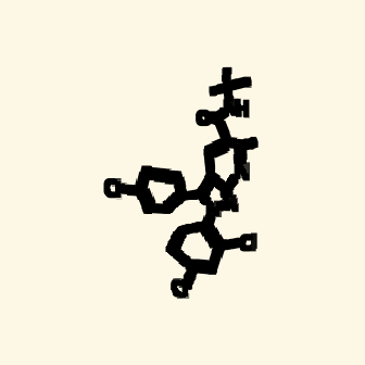 Cc1nc2nn(-c3ccc(Cl)cc3Cl)c(-c3ccc(Cl)cc3)c2cc1C(=O)NC(C)(C)C